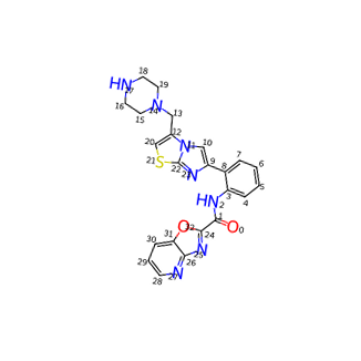 O=C(Nc1ccccc1-c1cn2c(CN3CCNCC3)csc2n1)c1nc2ncccc2o1